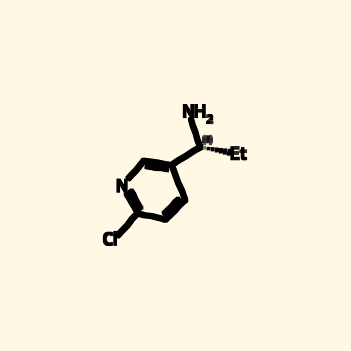 CC[C@@H](N)c1ccc(Cl)nc1